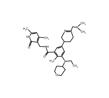 CCN(c1cc(C2CCC(CN(C)C)=NC2)cc(C(=O)NCc2c(C)cc(C)[nH]c2=O)c1C)C1CCOCC1